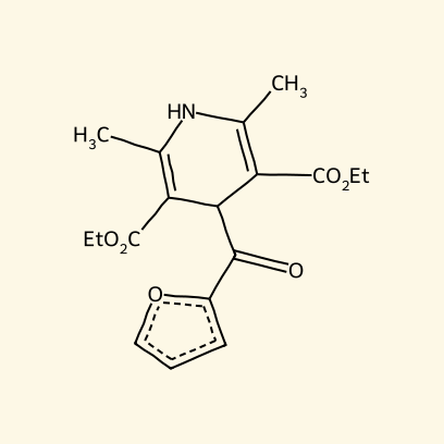 CCOC(=O)C1=C(C)NC(C)=C(C(=O)OCC)C1C(=O)c1ccco1